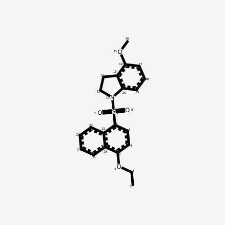 CCOc1ccc(S(=O)(=O)N2CCc3c(OC)cccc32)c2ccccc12